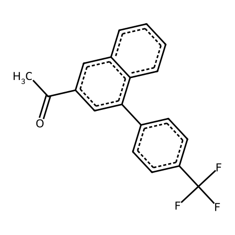 CC(=O)c1cc(-c2ccc(C(F)(F)F)cc2)c2ccccc2c1